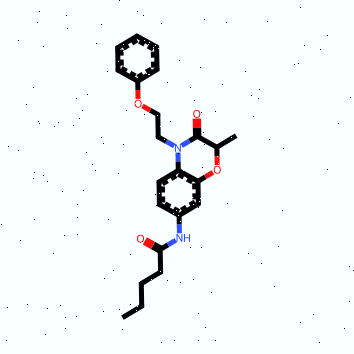 CCCCC(=O)Nc1ccc2c(c1)OC(C)C(=O)N2CCOc1ccccc1